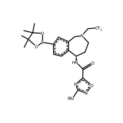 CC(C)(C)c1noc(C(=O)N[C@@H]2CCN(CC(F)(F)F)Cc3cc(B4OC(C)(C)C(C)(C)O4)ccc32)n1